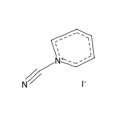 N#C[n+]1ccccc1.[I-]